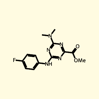 COC(=O)c1nc(Nc2ccc(F)cc2)nc(N(C)C)n1